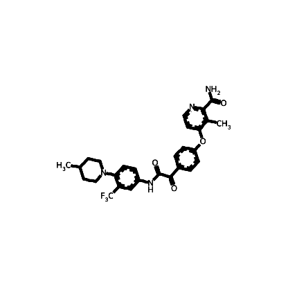 Cc1c(Oc2ccc(C(=O)C(=O)Nc3ccc(N4CCC(C)CC4)c(C(F)(F)F)c3)cc2)ccnc1C(N)=O